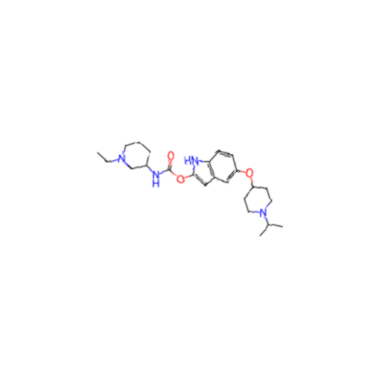 CCN1CCCC(NC(=O)Oc2cc3cc(OC4CCN(C(C)C)CC4)ccc3[nH]2)C1